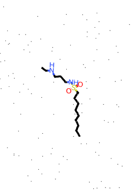 CCCCCCCCCS(=O)(=O)NCCCNCC